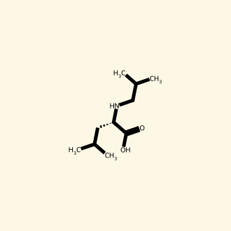 CC(C)CN[C@@H](CC(C)C)C(=O)O